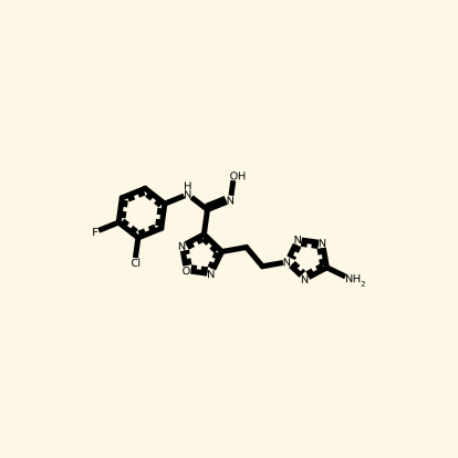 Nc1nnn(CCc2nonc2/C(=N/O)Nc2ccc(F)c(Cl)c2)n1